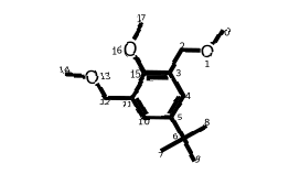 COCc1cc(C(C)(C)C)cc(COC)c1OC